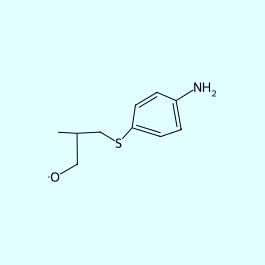 CC(C[O])CSc1ccc(N)cc1